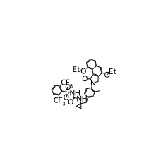 CCOc1cc2cccc(OCC)c2c2c1CN(c1ccc(CC3(NC(=O)NS(=O)(=O)c4c(C(F)(F)F)cccc4C(F)(F)F)CC3)cc1C)C2=O